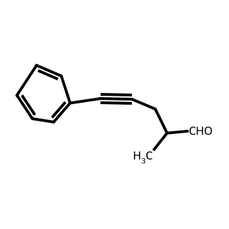 CC(C=O)CC#Cc1ccccc1